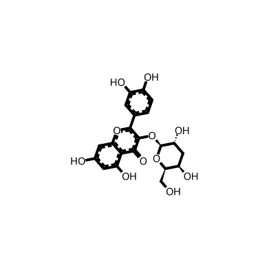 O=c1c(O[C@@H]2O[C@H](CO)[C@H](O)C[C@H]2O)c(-c2ccc(O)c(O)c2)oc2cc(O)cc(O)c12